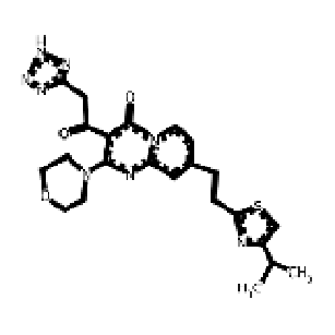 CC(C)c1csc(CCc2ccn3c(=O)c(C(=O)Cc4nn[nH]n4)c(N4CCOCC4)nc3c2)n1